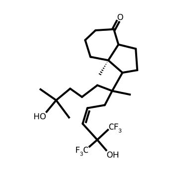 CC(C)(O)CCCC(C)(C/C=C\C(O)(C(F)(F)F)C(F)(F)F)C1CCC2C(=O)CCC[C@@]21C